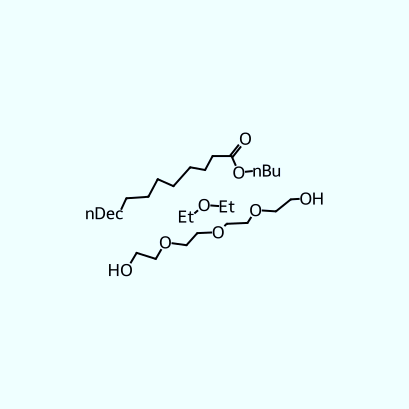 CCCCCCCCCCCCCCCCCC(=O)OCCCC.CCOCC.OCCOCCOCCOCCO